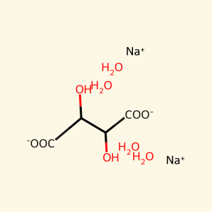 O.O.O.O.O=C([O-])C(O)C(O)C(=O)[O-].[Na+].[Na+]